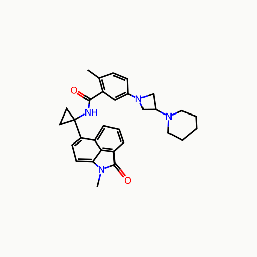 Cc1ccc(N2CC(N3CCCCC3)C2)cc1C(=O)NC1(c2ccc3c4c(cccc24)C(=O)N3C)CC1